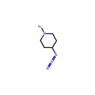 CC(=O)N1CCC(N=[N+]=[N-])CC1